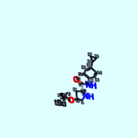 CC(C)(C)[Si](C)(C)O[C@@H]1CN[C@@H](C(=O)Nc2ccc(C3CC3)cc2)C1